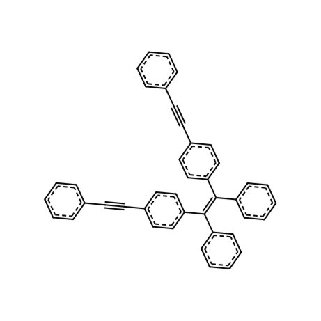 C(#Cc1ccc(C(=C(c2ccccc2)c2ccc(C#Cc3ccccc3)cc2)c2ccccc2)cc1)c1ccccc1